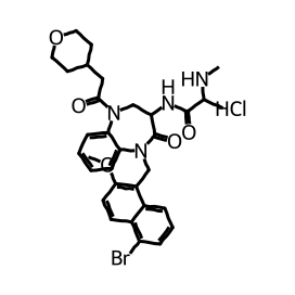 CNC(C)C(=O)NC1CN(C(=O)CC2CCOCC2)c2ccccc2N(Cc2c(OC)ccc3c(Br)cccc23)C1=O.Cl